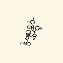 Cc1ccc([S+]([O-])n2c(-c3cccc(N4CC(C(=O)N=O)C4)c3)c(-c3ccsc3C#N)c3cc(F)ccc32)c(F)c1